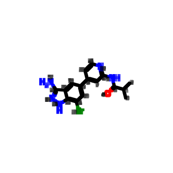 CC(C)C(=O)Nc1cc(-c2cc(Br)c3[nH]nc(N)c3c2)ccn1